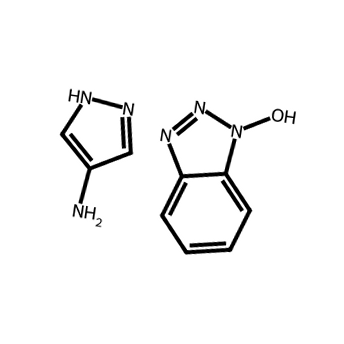 Nc1cn[nH]c1.On1nnc2ccccc21